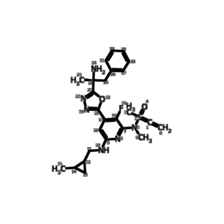 C=C=S(C)(=O)N(C)c1nc(NCC2CC2C)cc(-c2nnc([C@](C)(N)Cc3ccccc3)o2)c1F